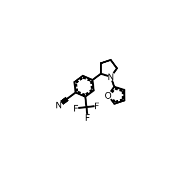 N#Cc1ccc(C2CCCN2c2ccco2)cc1C(F)(F)F